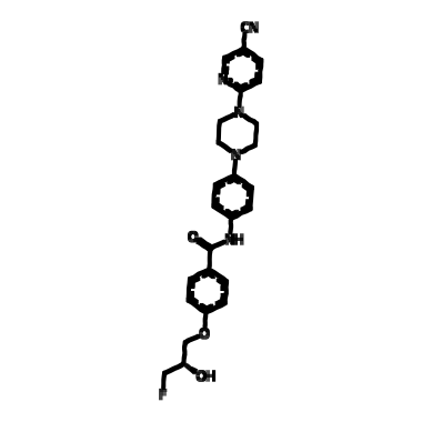 N#Cc1ccc(N2CCN(c3ccc(NC(=O)c4ccc(OC[C@@H](O)CF)cc4)cc3)CC2)nc1